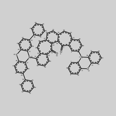 O=c1c2cc(N3c4ccccc4Oc4ccccc43)ccc2ccc2ccc3ccc4c(N5c6cc(-c7ccccc7)ccc6Sc6ccc(-c7ccccc7)cc65)cccc4c(=O)c3c12